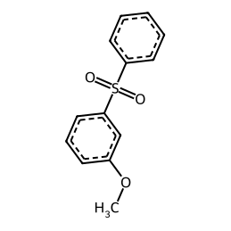 COc1cccc(S(=O)(=O)c2ccccc2)c1